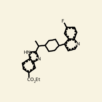 CCOC(=O)c1ccc2[nH]c(C(C)C3CCC(c4ccnc5ccc(F)cc45)CC3)nc2c1